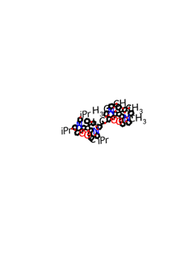 Cc1ccc(C)c(N(c2ccccc2)c2cc3c(c4oc5ccccc5c24)-c2c(cc(N(c4ccccc4)c4cc(C)ccc4C)c4c2oc2cc(CC(C)c5ccc(N(c6ccc(C(C)C)cc6)c6cc7c(c8oc9ccccc9c68)-c6c(cc(N(c8ccc(C(C)C)cc8)c8ccc(C(C)C)cc8)c8c6oc6ccccc68)C7(c6ccccc6)c6ccccc6)cc5)ccc24)C3(c2ccccc2)c2ccccc2)c1